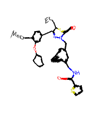 CCC1SC(=O)N(Cc2cccc(NC(=O)c3cccs3)c2)N=C1c1ccc(OC)c(OC2CCCC2)c1